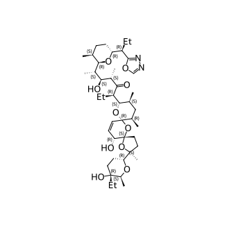 CC[C@@H](C(=O)[C@@H](C)[C@@H](O)[C@H](C)[C@@H]1O[C@@H]([C@@H](CC)c2nnco2)CC[C@@H]1C)[C@H]1O[C@]2(C=C[C@@H](O)[C@]3(CC[C@@](C)([C@H]4CC[C@](O)(CC)[C@H](C)O4)O3)O2)[C@H](C)C[C@@H]1C